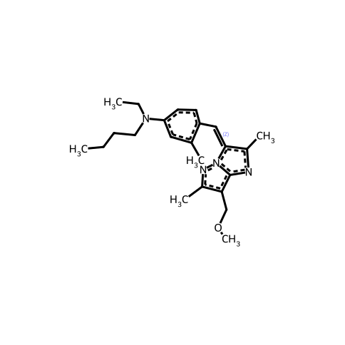 CCCCN(CC)c1ccc(/C=c2/c(C)nc3c(COC)c(C)nn23)c(C)c1